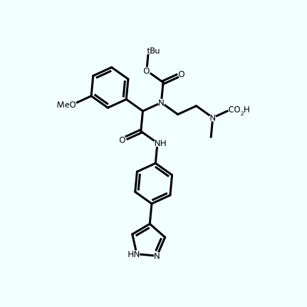 COc1cccc(C(C(=O)Nc2ccc(-c3cn[nH]c3)cc2)N(CCN(C)C(=O)O)C(=O)OC(C)(C)C)c1